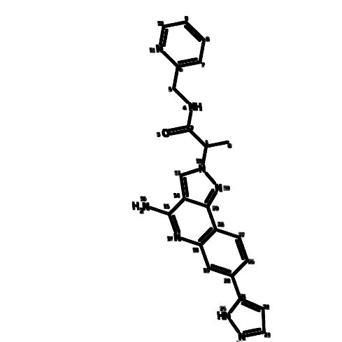 CC(C(=O)NCc1ccccn1)n1cc2c(N)nc3cc(-c4ccn[nH]4)ccc3c2n1